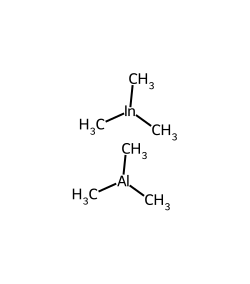 [CH3][Al]([CH3])[CH3].[CH3][In]([CH3])[CH3]